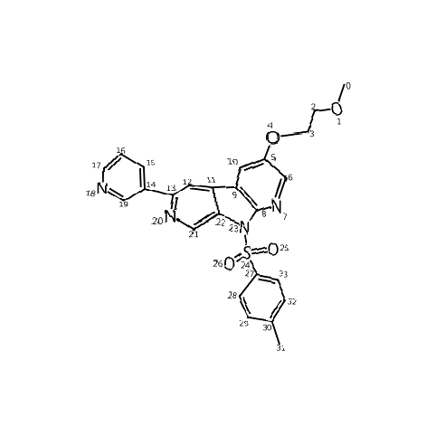 COCCOc1cnc2c(c1)c1cc(-c3cccnc3)ncc1n2S(=O)(=O)c1ccc(C)cc1